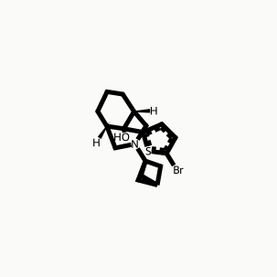 OC1(c2ccc(Br)s2)[C@@H]2CCC[C@H]1CN(C13CC(C1)C3)C2